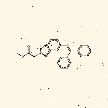 COC(=O)Cc1nc2cc(N=C(c3ccccc3)c3ccccc3)ccn2n1